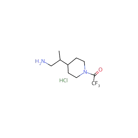 CC(CN)C1CCN(C(=O)C(F)(F)F)CC1.Cl